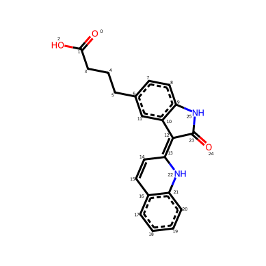 O=C(O)CCCc1ccc2c(c1)/C(=C1\C=Cc3ccccc3N1)C(=O)N2